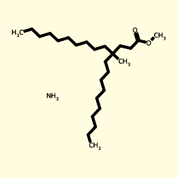 CCCCCCCCCCC(C)(CCCCCCCCCC)CCC(=O)OC.N